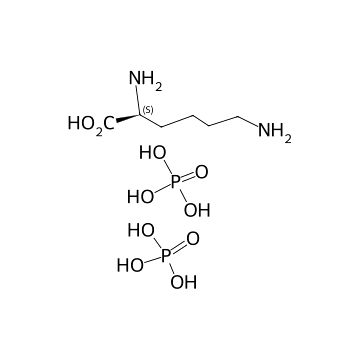 NCCCC[C@H](N)C(=O)O.O=P(O)(O)O.O=P(O)(O)O